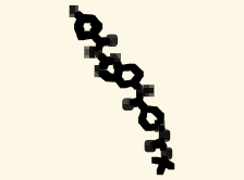 CC(C)(C)OC(=O)ON1CCC(C(=O)NC2CCc3nc(NC(=O)c4ccc(F)cc4)ncc3C2)CC1